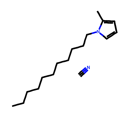 C#N.CCCCCCCCCCCn1cccc1C